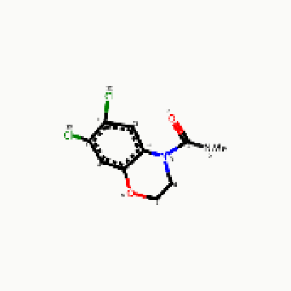 CNC(=O)N1CCOc2cc(Cl)c(Cl)cc21